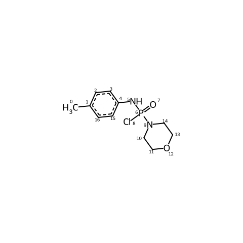 Cc1ccc(NP(=O)(Cl)N2CCOCC2)cc1